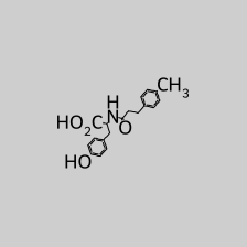 Cc1ccc(CCC(=O)N[C@@H](Cc2ccc(O)cc2)C(=O)O)cc1